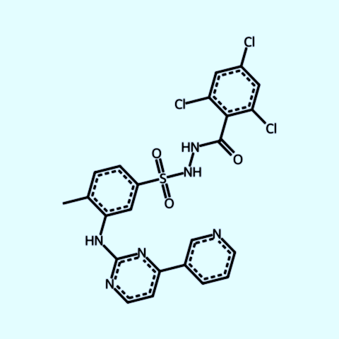 Cc1ccc(S(=O)(=O)NNC(=O)c2c(Cl)cc(Cl)cc2Cl)cc1Nc1nccc(-c2cccnc2)n1